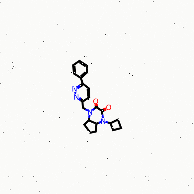 O=C1C(=O)N(C2CCC2)C2CCCC2N1Cc1ccc(-c2ccccc2)nn1